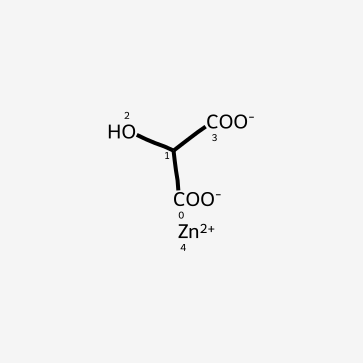 O=C([O-])C(O)C(=O)[O-].[Zn+2]